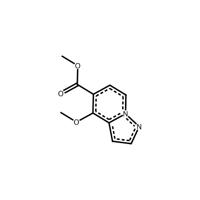 COC(=O)c1ccn2nccc2c1OC